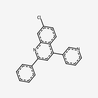 Clc1ccc2c(-c3cccnc3)cc(-c3ccccc3)nc2c1